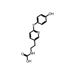 O=C(O)NCCc1ccc(Sc2ccc(O)cc2)nc1